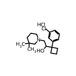 CC1(C)CCCN(CC(O)C2(c3cccc(Cl)c3)CCC2)C1.Cl